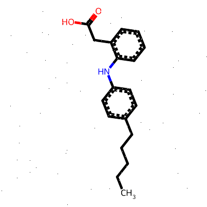 CCCCCc1ccc(Nc2ccccc2CC(=O)O)cc1